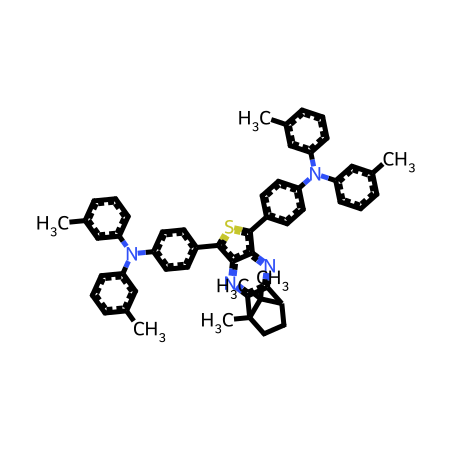 Cc1cccc(N(c2ccc(-c3sc(-c4ccc(N(c5cccc(C)c5)c5cccc(C)c5)cc4)c4nc5c(nc34)C3CCC5(C)C3(C)C)cc2)c2cccc(C)c2)c1